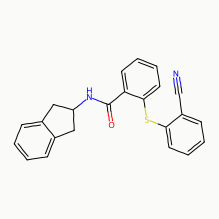 N#Cc1ccccc1Sc1ccccc1C(=O)NC1Cc2ccccc2C1